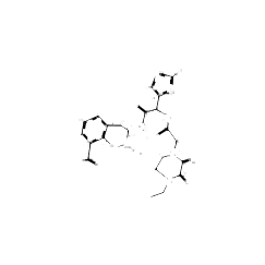 CCN1CCN(CC(=O)NC(C(=O)N[C@H]2Cc3cccc(C(=O)O)c3OB2O)c2csc(N)n2)C(=O)C1=O